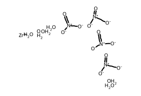 O.O.O.O.O.O.O=[N+]([O-])[O-].O=[N+]([O-])[O-].O=[N+]([O-])[O-].O=[N+]([O-])[O-].[Zr+4]